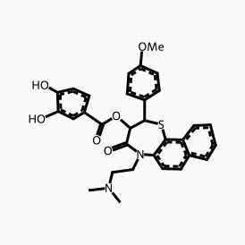 COc1ccc(C2Sc3c(ccc4ccccc34)N(CCN(C)C)C(=O)C2OC(=O)c2ccc(O)c(O)c2)cc1